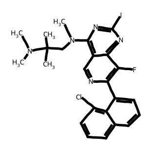 CN(CC(C)(C)N(C)C)c1nc(I)nc2c(F)c(-c3cccc4cccc(Cl)c34)ncc12